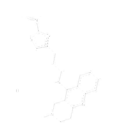 CN1CCc2nc3ccccc3c(NCCCc3c[nH]c([N+](=O)[O-])n3)c2C1.Cl